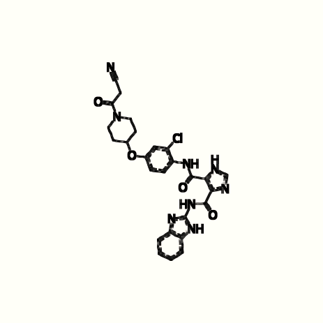 N#CCC(=O)N1CCC(Oc2ccc(NC(=O)c3[nH]cnc3C(=O)Nc3nc4ccccc4[nH]3)c(Cl)c2)CC1